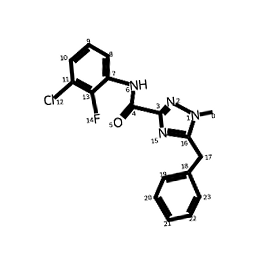 Cn1nc(C(=O)Nc2cccc(Cl)c2F)nc1Cc1ccccc1